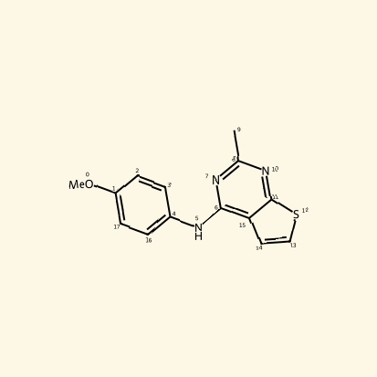 COc1ccc(Nc2nc(C)nc3sccc23)cc1